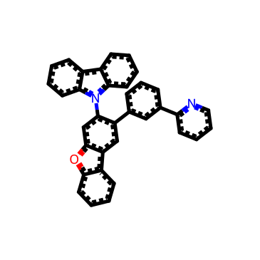 c1ccc(-c2cccc(-c3cc4c(cc3-n3c5ccccc5c5ccccc53)oc3ccccc34)c2)nc1